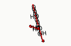 CCCOCCOCCOCCOCCC(=O)NCCCOCCOCCOCCCNC(=O)[C@H](CCCCNC(=O)CCCCCCCCC1=C(C)CCCC1(C)C)NC(=O)CCCCCCCCC1=C(C)CCCC1(C)C